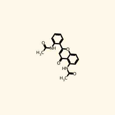 CC(=O)Nc1ccccc1-c1cc(=O)c2c(NC(C)=O)cccc2o1